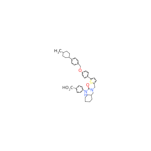 CC1CCC(c2ccc(COc3ccc(-c4ccc(CN(CC5CCCCC5)C(=O)Nc5ccc(C(=O)O)cc5)s4)cc3)cc2)CC1